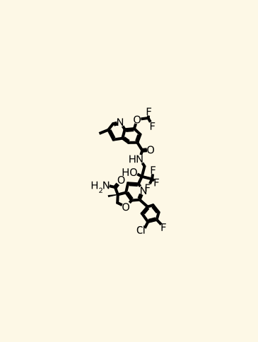 Cc1cnc2c(OC(F)F)cc(C(=O)NCC(O)(c3cc4c(c(-c5ccc(F)c(Cl)c5)n3)OC[C@]4(C)C(N)=O)C(F)(F)F)cc2c1